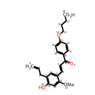 C=CCc1cc(/C=C/C(=O)c2ccc(OCCCC(=O)O)cc2)c(OC)cc1O